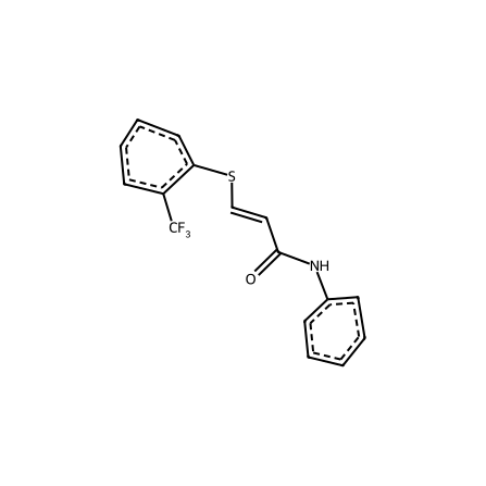 O=C(C=CSc1ccccc1C(F)(F)F)Nc1ccccc1